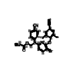 C#Cc1cc(C)c(Oc2nc(N(COC(=O)C(C)(C)C)c3ccc(C#N)cc3)ncc2Br)c(C)c1